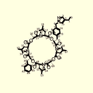 CCc1cnn(Cc2ccc(C[C@H]3OC(=O)[C@H](CC(C)C)N(C)C(=O)[C@@H](C)OC(=O)[C@H](CC(C)C)N(C)C(=O)[C@@H](Cc4ccccc4)OC(=O)[C@H](CC(C)C)N(C)C(=O)[C@@H](C)OC(=O)[C@H](CC(C)C)N(C)C3=O)cc2)c1